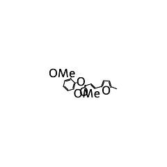 COc1cccc(OC)c1OC(=O)C=Cc1ccc(C)o1